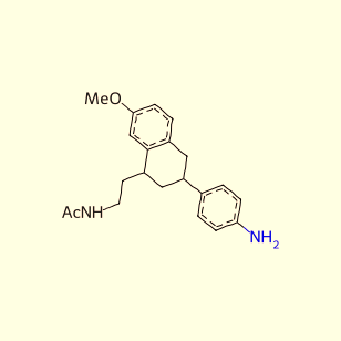 COc1ccc2c(c1)C(CCNC(C)=O)CC(c1ccc(N)cc1)C2